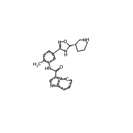 Cc1ccc(C2=NOC([C@@H]3CCCNC3)N2)cc1NC(=O)c1cnc2ccccn12